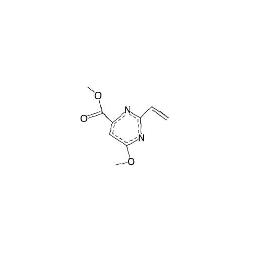 C=Cc1nc(OC)cc(C(=O)OC)n1